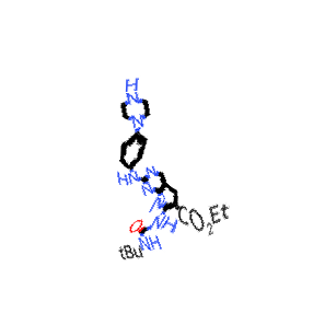 CCOC(=O)c1cc2cnc(Nc3ccc(N4CCNCC4)cc3)nc2nc1NC(=O)NC(C)(C)C